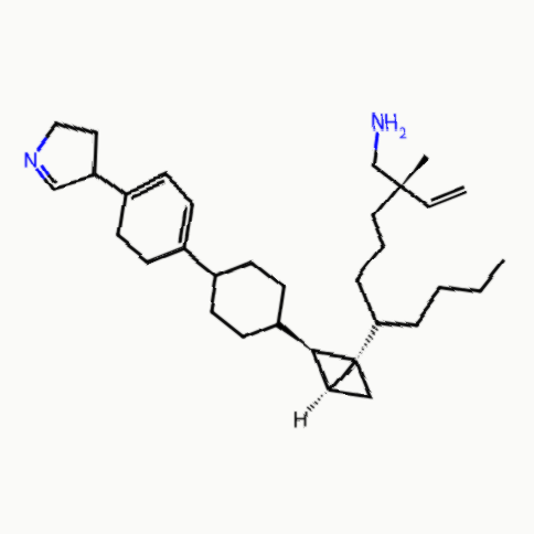 C=C[C@@](C)(CN)CCCC(CCCC)[C@]12C[C@H]1[C@H]2C1CCC(C2=CC=C(C3C=NCC3)CC2)CC1